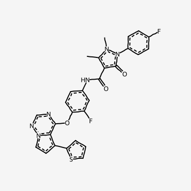 Cc1c(C(=O)Nc2ccc(Oc3ncnn4ccc(-c5cccs5)c34)c(F)c2)c(=O)n(-c2ccc(F)cc2)n1C